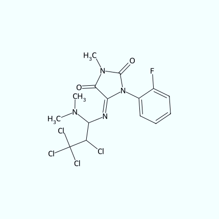 CN1C(=O)C(=NC(C(Cl)C(Cl)(Cl)Cl)N(C)C)N(c2ccccc2F)C1=O